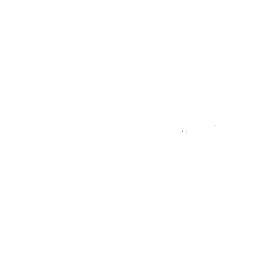 FCC[C@H](CF)c1nnc2ccc(-c3ccc(OC(F)(F)F)cc3)nn12